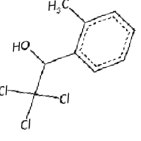 Cc1ccccc1C(O)C(Cl)(Cl)Cl